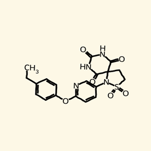 CCc1ccc(Oc2ccc(N3C4(CCS3(=O)=O)C(=O)NC(=O)NC4=O)cn2)cc1